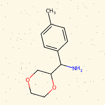 Cc1ccc(C(N)C2COCCO2)cc1